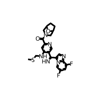 CSCNc1cc(C(=O)N2CC3CCC(C2)O3)ncc1C(=N)c1cnc2c(F)cc(F)cn12